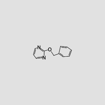 c1ccc(COc2ncccn2)cc1